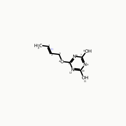 C/C=C/COc1nc(O)nc(O)n1